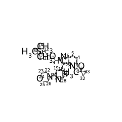 CC1(Oc2ccc3nn(COCC[Si](C)(C)C)c(-c4cc(N5CCOCC5)ncn4)c3n2)CC1